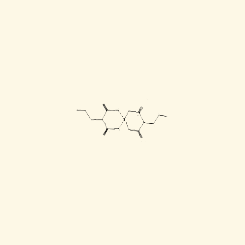 O=C(O)CCC1C(=O)CC2(CC1=O)CC(=O)C(CCC(=O)O)C(=O)C2